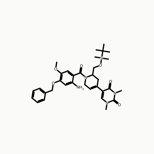 COc1cc(C(=O)N2CC=C(c3cn(C)c(=O)n(C)c3=O)CC2CO[Si](C)(C)C(C)(C)C)c(N)cc1OCc1ccccc1